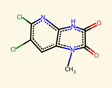 Cn1c(=O)c(=O)[nH]c2nc(Cl)c(Cl)cc21